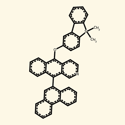 C[Si]1(C)c2ccccc2-c2cc(Oc3c4ccccc4c(-c4cc5ccccc5c5ccccc45)c4cnccc34)ccc21